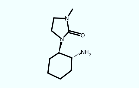 CN1CCN([C@@H]2CCCC[C@H]2N)C1=O